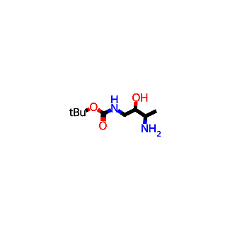 CC(N)C(O)CNC(=O)OC(C)(C)C